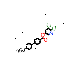 CCCCc1ccc(-c2ccc(C(=O)Oc3cnc(Cl)c(Cl)c3)cc2)cc1